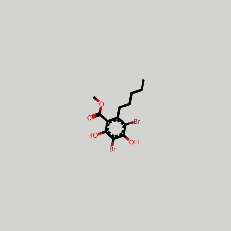 CCCCCc1c(Br)c(O)c(Br)c(O)c1C(=O)OC